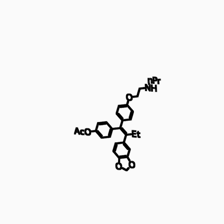 CCCNCCOc1ccc(C(=C(CC)c2ccc3c(c2)OCO3)c2ccc(OC(C)=O)cc2)cc1